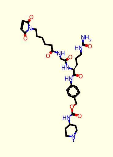 CN1CCC(NC(=O)OCc2ccc(NC(=O)[C@H](CCCNC(N)=O)NC(=O)CNC(=O)CCCCCN3C(=O)C=CC3=O)cc2)CC1